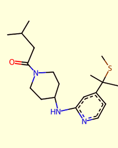 CSC(C)(C)c1ccnc(NC2CCN(C(=O)CC(C)C)CC2)c1